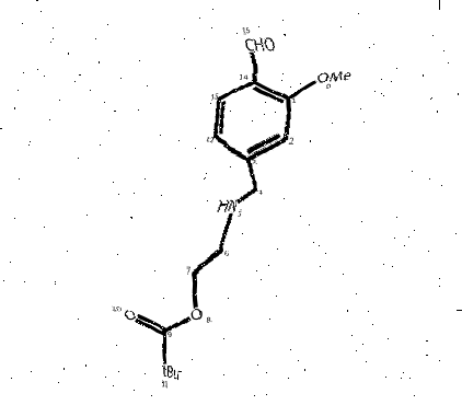 COc1cc(CNCCOC(=O)C(C)(C)C)ccc1C=O